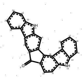 O=C1c2cc3c(cc2-c2c1ccc1[nH]c4ccccc4c21)[nH]c1ccccc13